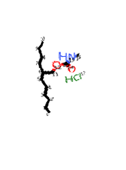 CCCCCCC(CCCC)COC(=O)NC.Cl